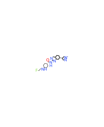 Cn1cc(-c2ccc3cnc(NC(=O)[C@H]4CC[C@H](NCCF)CC4)nc3c2)cn1